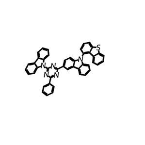 c1ccc(-c2nc(-c3ccc4c(c3)c3ccccc3n4-c3cccc4sc5ccccc5c34)nc(-n3c4ccccc4c4ccccc43)n2)cc1